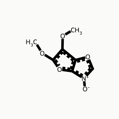 COc1oc2c(oc[n+]2[O-])c1OC